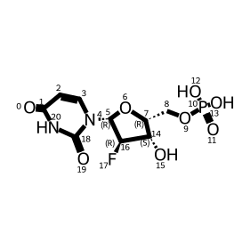 O=c1ccn([C@@H]2O[C@H](COP(=O)(O)O)[C@H](O)[C@H]2F)c(=O)[nH]1